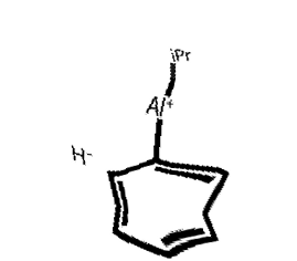 C[CH](C)[Al+][c]1ccccc1.[H-]